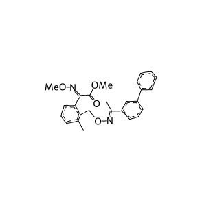 CO/N=C(/C(=O)OC)c1cccc(C)c1CO/N=C(\C)c1cccc(-c2ccccc2)c1